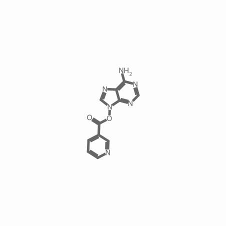 Nc1ncnc2c1ncn2OC(=O)c1cccnc1